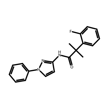 CC(C)(C(=O)Nc1ccn(-c2ccccc2)n1)c1ccccc1F